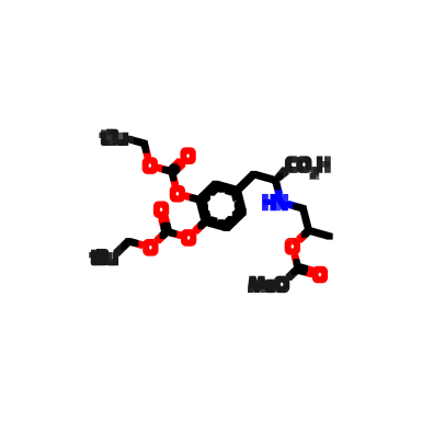 COC(=O)OC(C)CN[C@@H](Cc1ccc(OC(=O)OCC(C)(C)C)c(OC(=O)OCC(C)(C)C)c1)C(=O)O